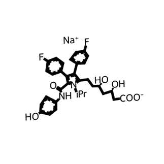 CC(C)n1c(CC[C@@H](O)C[C@@H](O)CC(=O)[O-])c(-c2ccc(F)cc2)c(-c2ccc(F)cc2)c1C(=O)Nc1ccc(O)cc1.[Na+]